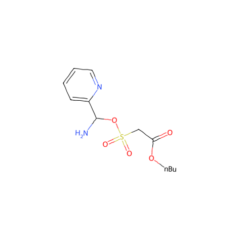 CCCCOC(=O)CS(=O)(=O)OC(N)c1ccccn1